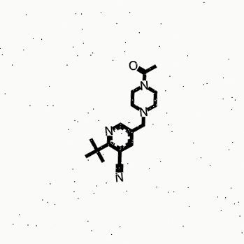 CC(=O)N1CCN(Cc2cnc(C(C)(C)C)c(C#N)c2)CC1